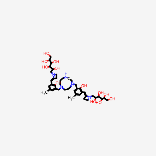 Cc1cc(C=C2CCN2CC(O)C(O)C(O)C(O)CO)c(O)c(CN2CCCNCCN(Cc3cc(C)cc(C=C4CCN4CC(O)C(O)C(O)C(O)CO)c3O)CCC2)c1